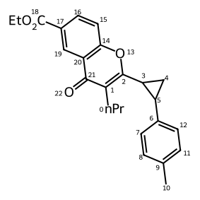 CCCc1c(C2CC2c2ccc(C)cc2)oc2ccc(C(=O)OCC)cc2c1=O